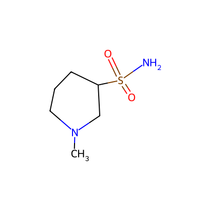 CN1CCCC(S(N)(=O)=O)C1